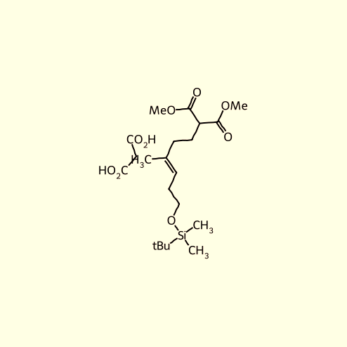 COC(=O)C(CCC(C)=CCCO[Si](C)(C)C(C)(C)C)C(=O)OC.O=C(O)CC(=O)O